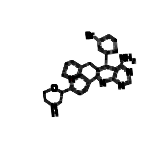 Nc1ncnc2nc(-c3ccc(C4CNCCO4)nc3)c(Cc3ccccc3)c(-c3cccc(Br)c3)c12